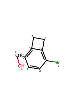 Brc1cccc2c1CC2.O=CO